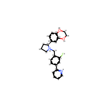 Fc1cc(-c2ccccn2)ccc1CN1CCC[C@H]1c1ccc2c(c1)OCCO2